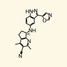 Cc1nc2c(c(C)c1C#N)CC[C@H]2Nc1ccc2[nH]nc(-c3cnco3)c2c1